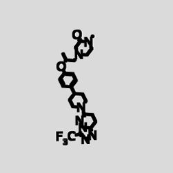 CC(CN1CCN(C)C(=O)C1)Oc1ccc(C2CCN(C3=Nn4c(nnc4C(F)(F)F)CC3)CC2)cc1